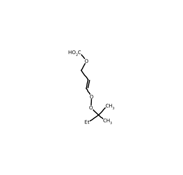 CCC(C)(C)OOC=CCOC(=O)O